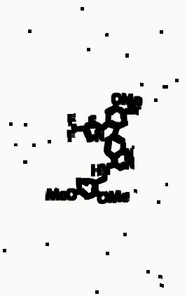 COc1ccc(CNc2cnnc3cc(-c4cc(Br)c(OC)cc4-c4ncc(C(F)F)s4)ccc23)c(OC)c1